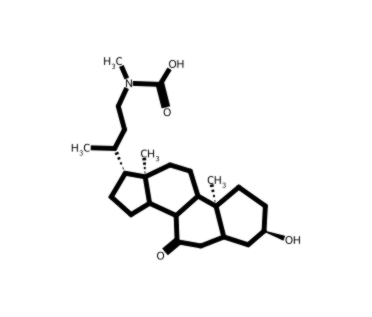 CC(CCN(C)C(=O)O)[C@H]1CCC2C3C(=O)CC4C[C@H](O)CC[C@]4(C)C3CC[C@@]21C